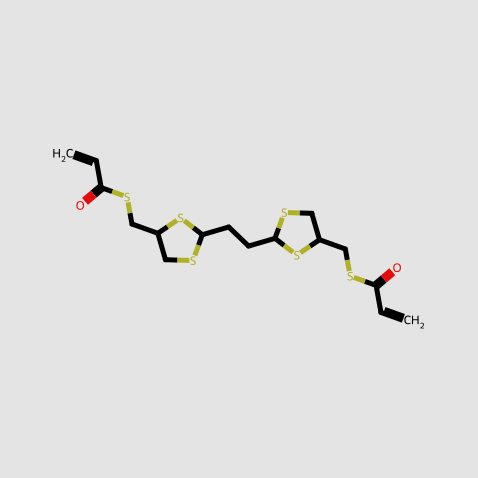 C=CC(=O)SCC1CSC(CCC2SCC(CSC(=O)C=C)S2)S1